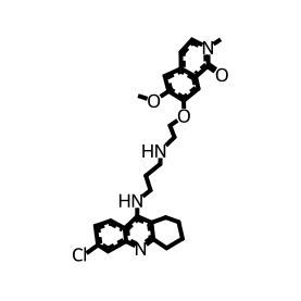 COc1cc2ccn(C)c(=O)c2cc1OCCNCCCNc1c2c(nc3cc(Cl)ccc13)CCCC2